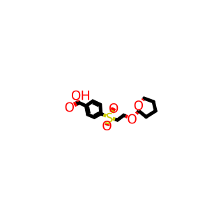 O=C(O)c1ccc(S(=O)(=O)CCOC2CCCCO2)cc1